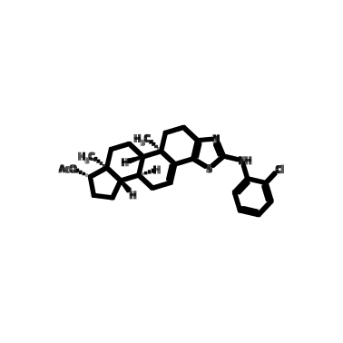 CC(=O)O[C@H]1CC[C@H]2[C@@H]3CC=C4c5sc(Nc6ccccc6Cl)nc5CC[C@]4(C)[C@H]3CC[C@]12C